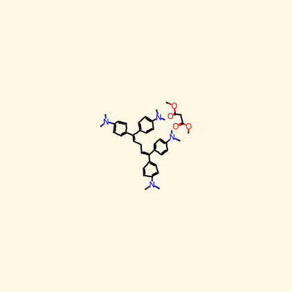 CN(C)c1ccc(C(=CCC=C(c2ccc(N(C)C)cc2)c2ccc(N(C)C)cc2)c2ccc(N(C)C)cc2)cc1.COC(=O)CC(=O)OC